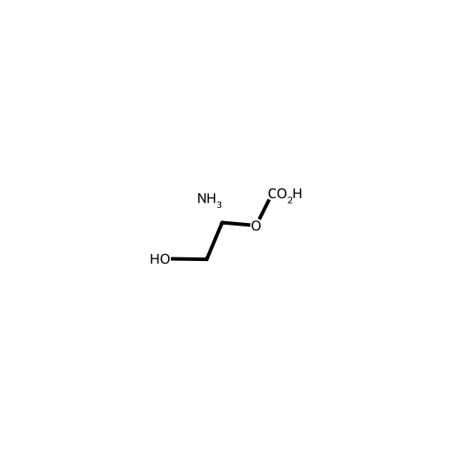 N.O=C(O)OCCO